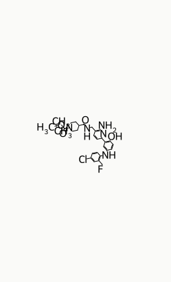 CC(C)(C)OC(=O)N1CCC(C(=O)NCc2ccc(-c3cc(Nc4ccc(Cl)cc4CF)ccc3O)nc2N)CC1